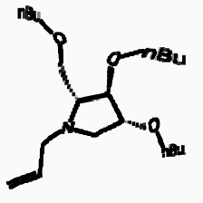 C=CCN1C[C@@H](OCCCC)[C@H](OCCCC)[C@H]1COCCCC